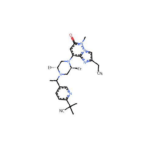 CC[C@H]1CN(C(C)c2ccc(C(C)(C)C#N)nc2)[C@H](CC)CN1c1cc(=O)n(C)n2cc(CC#N)nc12